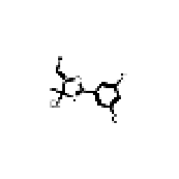 CCC1(C)N=C(c2cc(Cl)cc(Cl)c2)OC1=CBr